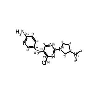 CN(C)C1CCN(c2ncc(Sc3ccc(N)nc3)c(Cl)n2)C1